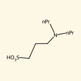 CCCN(CCC)CCCS(=O)(=O)O